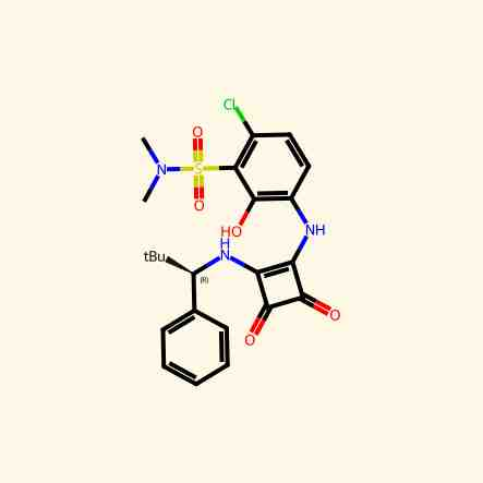 CN(C)S(=O)(=O)c1c(Cl)ccc(Nc2c(N[C@@H](c3ccccc3)C(C)(C)C)c(=O)c2=O)c1O